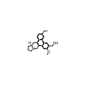 CCc1ccc2c3c(c4cc(OC)c(CO)cc4c2c1)CN1CCC[C@H]1C3